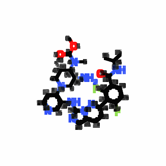 COC(=O)N(C)[C@@H]1[C@H](N)CN(c2ccncc2Nc2ncc3ccc(-c4c(F)ccc(C(=O)NC(C)C)c4F)nn23)C[C@@H]1C